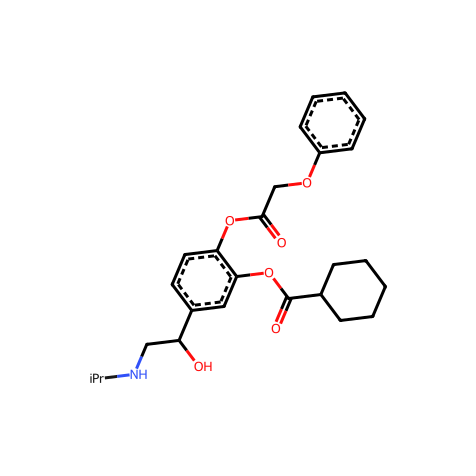 CC(C)NCC(O)c1ccc(OC(=O)COc2ccccc2)c(OC(=O)C2CCCCC2)c1